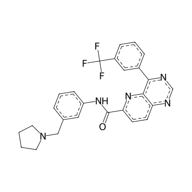 O=C(Nc1cccc(CN2CCCC2)c1)c1ccc2ncnc(-c3cccc(C(F)(F)F)c3)c2n1